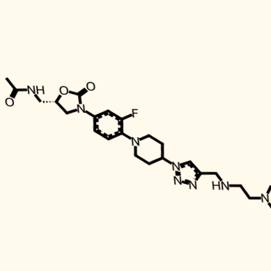 CC(=O)NC[C@H]1CN(c2ccc(N3CCC(n4cc(CNCCN(C)C)nn4)CC3)c(F)c2)C(=O)O1